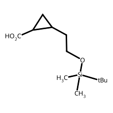 CC(C)(C)[Si](C)(C)OCCC1CC1C(=O)O